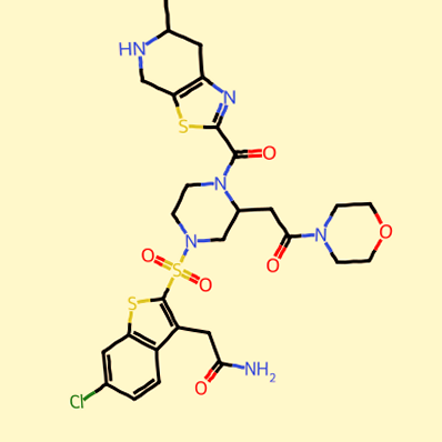 CC1Cc2nc(C(=O)N3CCN(S(=O)(=O)c4sc5cc(Cl)ccc5c4CC(N)=O)CC3CC(=O)N3CCOCC3)sc2CN1